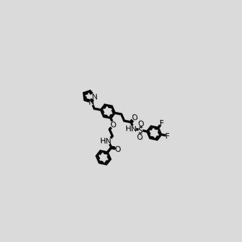 O=C(CCc1ccc(Cn2cccn2)cc1OCCNC(=O)c1ccccc1)NS(=O)(=O)c1ccc(F)c(F)c1